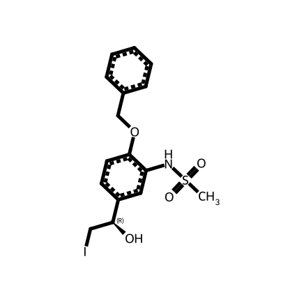 CS(=O)(=O)Nc1cc([C@@H](O)CI)ccc1OCc1ccccc1